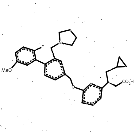 COc1ccc(F)c(-c2ccc(COc3cccc([C@H](CC(=O)O)CC4CC4)c3)cc2CN2CCCC2)c1